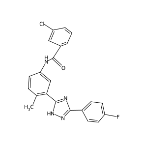 Cc1ccc(NC(=O)c2cccc(Cl)c2)cc1-c1nc(-c2ccc(F)cc2)n[nH]1